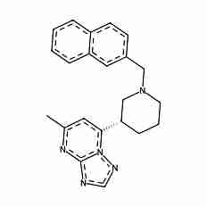 Cc1cc([C@H]2CCCN(Cc3ccc4ccccc4c3)C2)n2ncnc2n1